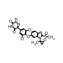 CC1(n2c(S(C)(=O)=O)nc3ccc(Oc4c(Cl)cc(-c5n[nH]c(=O)[nH]c5=O)cc4Cl)cc32)CC1